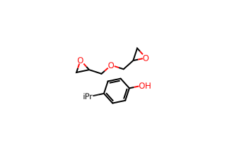 C(OCC1CO1)C1CO1.CC(C)c1ccc(O)cc1